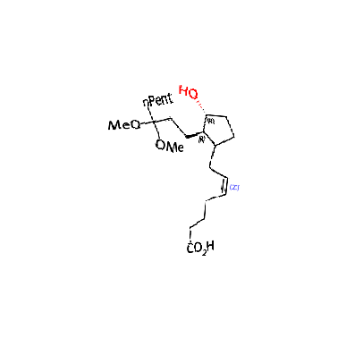 CCCCCC(CC[C@@H]1C(C/C=C\CCCC(=O)O)CC[C@H]1O)(OC)OC